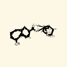 N#Cc1cccc2cc(C(=O)N[C@@H]3CC4CCN(CC4)C3)ccc12